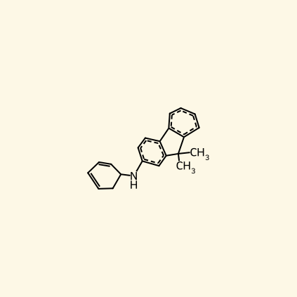 CC1(C)c2ccccc2-c2ccc(NC3C=CC=CC3)cc21